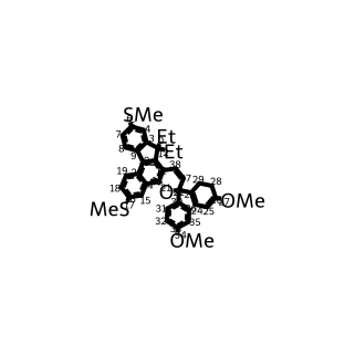 CCC1(CC)c2cc(SC)ccc2-c2c1c1c(c3cc(SC)ccc23)OC(C2=CC=C(OC)CC2)(c2ccc(OC)cc2)C=C1